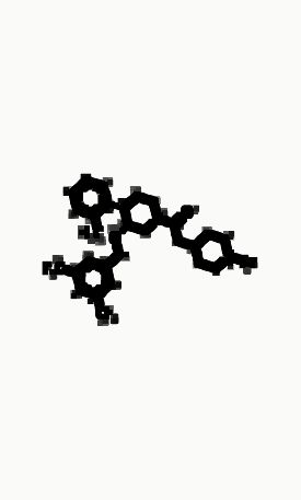 CC(=O)N1CCC(CC(=O)N2CC[C@@H](c3ccccc3C)[C@@H](OCc3cc(C(F)(F)F)cc(C(F)(F)F)c3)C2)CC1